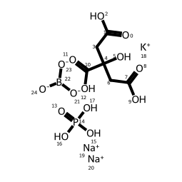 O=C(O)CC(O)(CC(=O)O)C(=O)O.O=P(O)(O)O.[K+].[Na+].[Na+].[O-]B([O-])[O-]